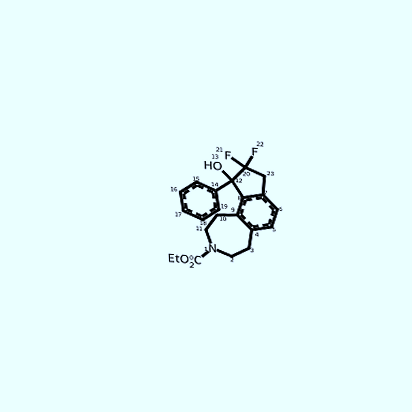 CCOC(=O)N1CCc2ccc3c(c2CC1)C(O)(c1ccccc1)C(F)(F)C3